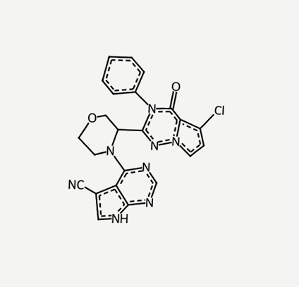 N#Cc1c[nH]c2ncnc(N3CCOCC3c3nn4ccc(Cl)c4c(=O)n3-c3ccccc3)c12